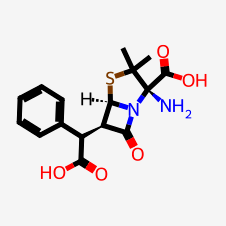 CC1(C)S[C@@H]2[C@H](C(C(=O)O)c3ccccc3)C(=O)N2[C@@]1(N)C(=O)O